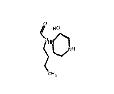 C1CNCCN1.CCCCOC=O.Cl